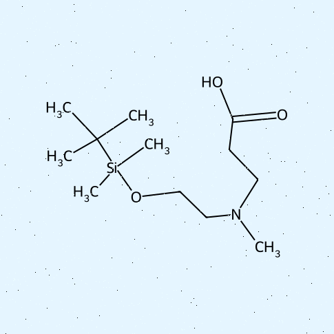 CN(CCO[Si](C)(C)C(C)(C)C)CCC(=O)O